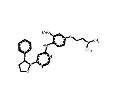 COc1cc(SCCN(C)C)ccc1Nc1cc(N2OCCC2c2ccccc2)ncn1